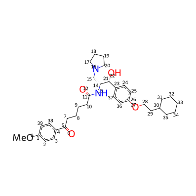 COc1ccc(C(=O)CCCCC(=O)N[C@H](CN2CCCC2)[C@H](O)c2ccc(OCCC3CCCCC3)cc2)cc1